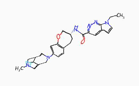 CCn1ccc2cc(C(=O)N[C@H]3COc4cc(N5CC6CN(C)CC(C5)C6(F)F)ccc4C3)nnc21